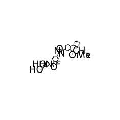 COCC1=CC(c2nc(-c3ccc(C(=O)NCC(O)CO)c(F)c3)no2)=CCC1C1=C(C)CCC=C1